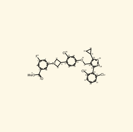 COC(=O)c1cc(F)cc(N2CC(c3ccc(OCc4c(-c5c(Cl)cccc5Cl)nsc4C4CC4)cc3Cl)C2)c1